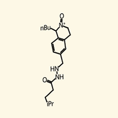 CCCCC1c2ccc(CNNC(=O)CCC(C)C)cc2CC[N+]1=O